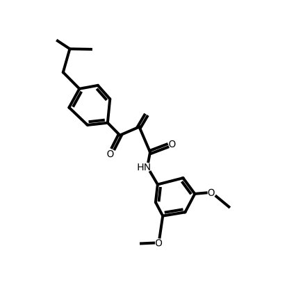 C=C(C(=O)Nc1cc(OC)cc(OC)c1)C(=O)c1ccc(CC(C)C)cc1